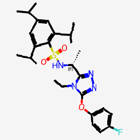 CCn1c(Oc2ccc(F)cc2)nnc1[C@@H](C)NS(=O)(=O)c1c(C(C)C)cc(C(C)C)cc1C(C)C